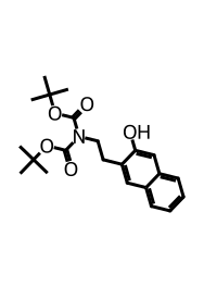 CC(C)(C)OC(=O)N(CCc1cc2ccccc2cc1O)C(=O)OC(C)(C)C